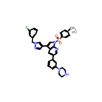 Cc1ccc(S(=O)(=O)n2cc(-c3cnn(Cc4cccc(F)c4)c3)c3cc(-c4cccc(N5CCNCC5)c4)cnc32)cc1.Cl